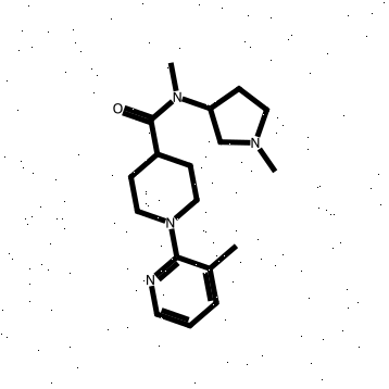 Cc1cccnc1N1CCC(C(=O)N(C)C2CCN(C)C2)CC1